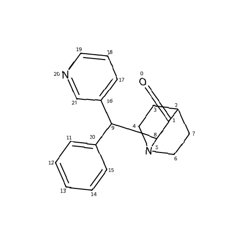 O=C1C2CCN(CC2)C1C(c1ccccc1)c1cccnc1